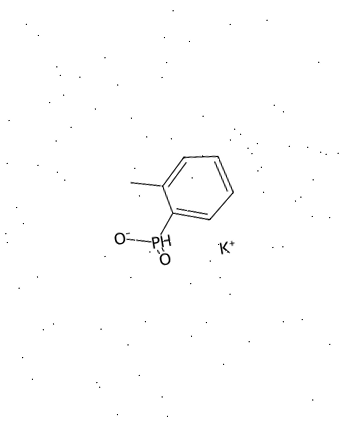 Cc1ccccc1[PH](=O)[O-].[K+]